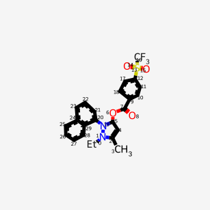 CCN1C(C)=CC(OC(=O)c2ccc(S(=O)(=O)C(F)(F)F)cc2)N1c1cccc2ccccc12